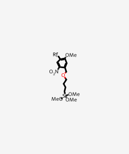 COc1cc(COCCCC[Si](OC)(OC)OC)c([N+](=O)[O-])c[c]1[Rf]